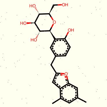 Cc1cc(C)c2cc(Cc3ccc(O)c([C@@H]4O[C@H](CO)[C@@H](O)[C@H](O)[C@H]4O)c3)oc2c1